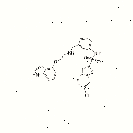 O=S(=O)(Nc1cccc(CNCCOc2cccc3[nH]ccc23)c1)c1cc2ccc(Cl)cc2s1